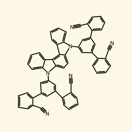 N#Cc1ccccc1-c1cc(-c2ccccc2C#N)cc(-n2c3ccccc3c3c4c5ccccc5n(-c5cc(-c6ccccc6C#N)cc(-c6ccccc6C#N)c5)c4ccc32)c1